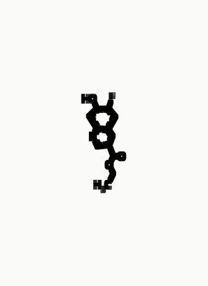 CCOC(=O)c1cnc2cc(O)c(F)cc2c1